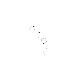 Cc1ccsc1C(=O)Nc1ncc(N2CCOCC2)s1